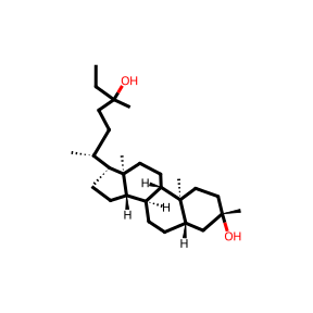 CCC(C)(O)CC[C@@H](C)[C@H]1CC[C@H]2[C@@H]3CC[C@H]4C[C@@](C)(O)CC[C@]4(C)[C@H]3CC[C@]12C